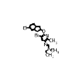 CCN(C)/C=N/c1cc(Br)c(OC2Cc3ccc(Cl)cc3C2)nc1C